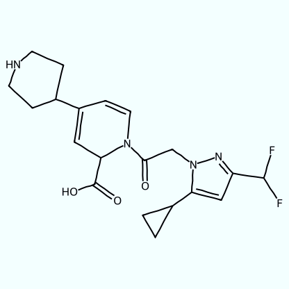 O=C(O)C1C=C(C2CCNCC2)C=CN1C(=O)Cn1nc(C(F)F)cc1C1CC1